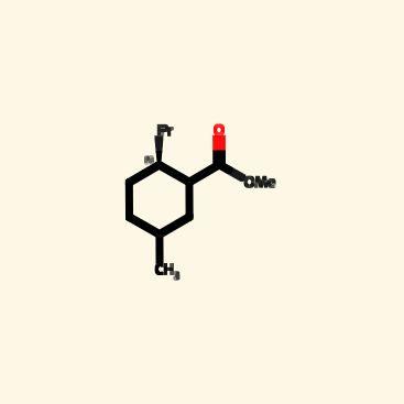 COC(=O)C1CC(C)CC[C@H]1C(C)C